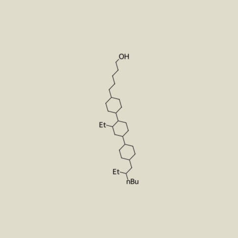 CCCCC(CC)CC1CCC(C2CCC(C3CCC(CCCCCO)CC3)C(CC)C2)CC1